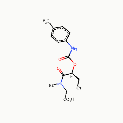 CCN(CC(=O)O)C(=O)[C@H](CC(C)C)OC(=O)Nc1ccc(C(F)(F)F)cc1